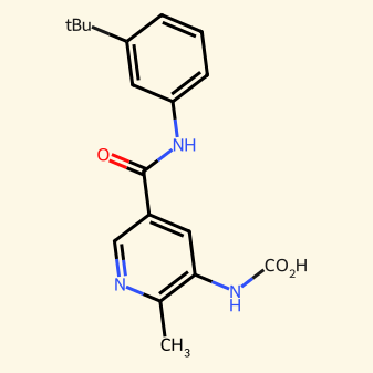 Cc1ncc(C(=O)Nc2cccc(C(C)(C)C)c2)cc1NC(=O)O